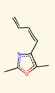 C=C/C=C\c1nc(C)oc1C